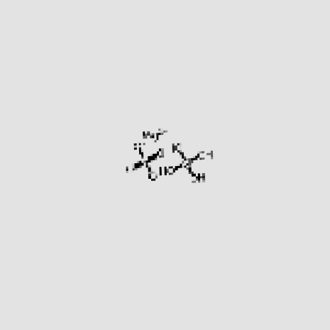 O=S(=O)([O-])[O-].O[Si](O)(O)O.[Mg+2]